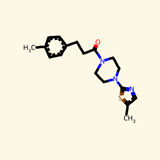 Cc1ccc(CCC(=O)N2CCN(c3ncc(C)s3)CC2)cc1